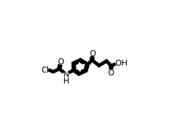 O=C(O)CCC(=O)c1ccc(NC(=O)CCl)cc1